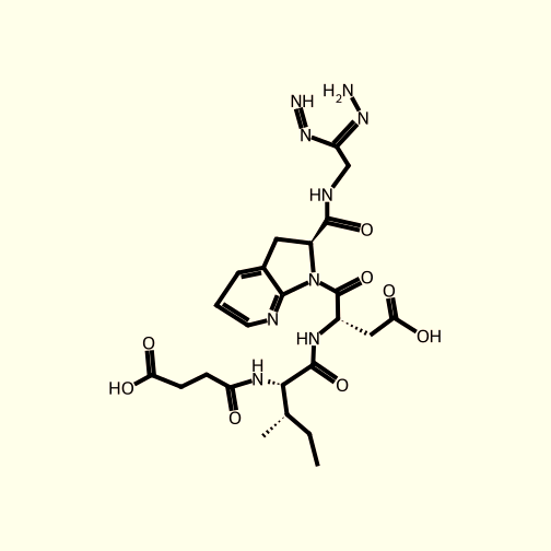 CC[C@H](C)[C@H](NC(=O)CCC(=O)O)C(=O)N[C@@H](CC(=O)O)C(=O)N1c2ncccc2C[C@H]1C(=O)NC/C(N=N)=N/N